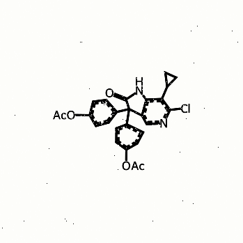 CC(=O)Oc1ccc(C2(c3ccc(OC(C)=O)cc3)C(=O)Nc3c2cnc(Cl)c3C2CC2)cc1